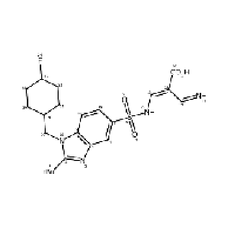 CC(C)(C)c1nc2cc(S(=O)(=O)N/C=C(\C=N)C(=O)O)ccc2n1CC1CCC(F)CC1